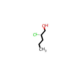 CCC[C@H](Cl)CO